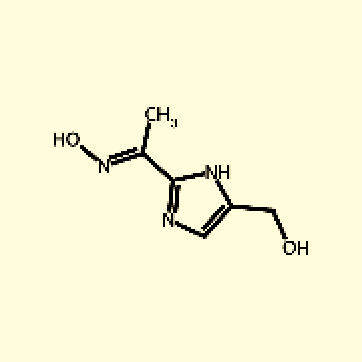 CC(=NO)c1ncc(CO)[nH]1